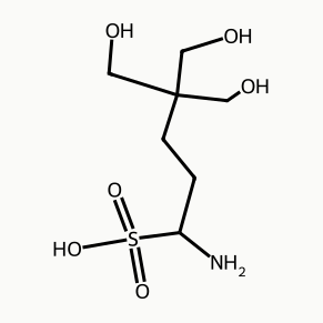 NC(CCC(CO)(CO)CO)S(=O)(=O)O